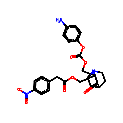 Nc1ccc(OC(=O)OCC2(COC(=O)Cc3ccc([N+](=O)[O-])cc3)C(=O)C3CCN2CC3)cc1